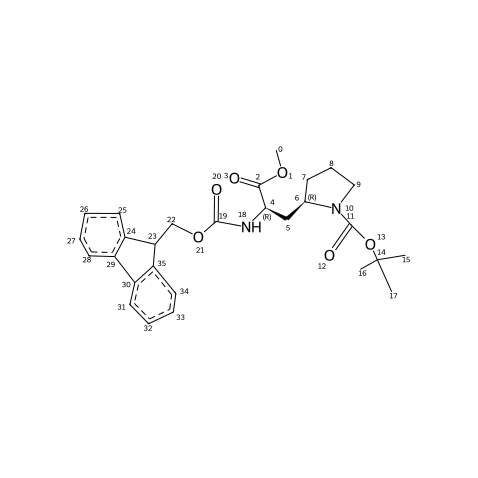 COC(=O)[C@@H](C[C@H]1CCCN1C(=O)OC(C)(C)C)NC(=O)OCC1c2ccccc2-c2ccccc21